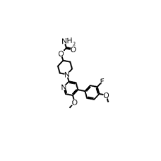 COc1ccc(-c2cc(N3CCC(OC(N)=O)CC3)ncc2OC)cc1F